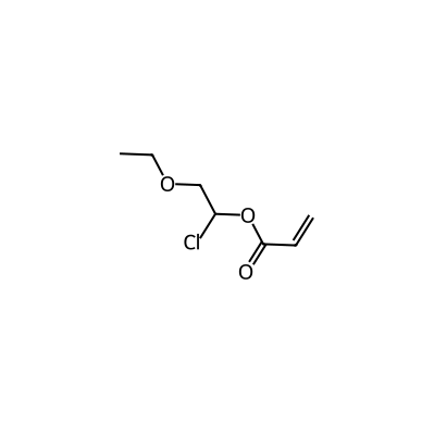 C=CC(=O)OC(Cl)COCC